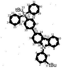 CC(C)(C)c1cccc(-n2c3ccccc3c3cc(-c4ccc([Si](c5ccccc5)(c5ccccc5)C(C)(C)C)cc4)ccc32)c1